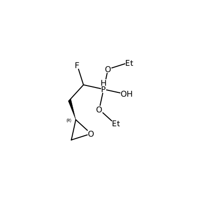 CCO[PH](O)(OCC)C(F)C[C@@H]1CO1